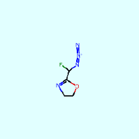 [N-]=[N+]=NC(F)C1=NCCO1